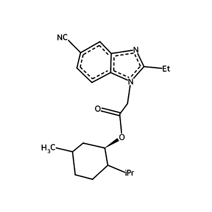 CCc1nc2cc(C#N)ccc2n1CC(=O)O[C@@H]1CC(C)CCC1C(C)C